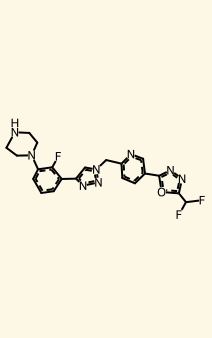 Fc1c(-c2cn(Cc3ccc(-c4nnc(C(F)F)o4)cn3)nn2)cccc1N1CCNCC1